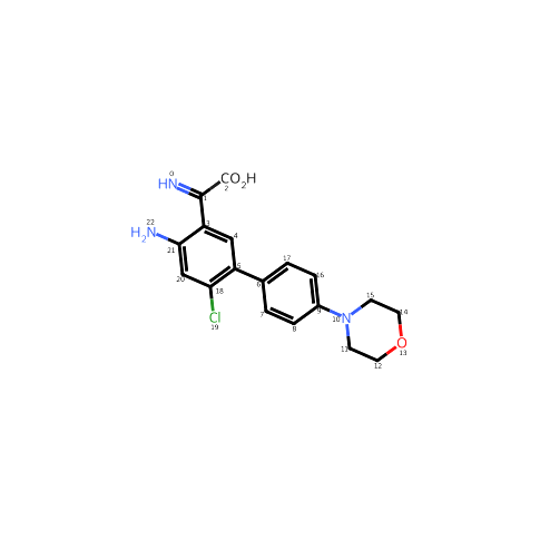 N=C(C(=O)O)c1cc(-c2ccc(N3CCOCC3)cc2)c(Cl)cc1N